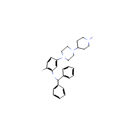 CN1CCC(N2CCN(c3ccc([N+](=O)[O-])c(NC(c4ccccc4)c4ccccc4)c3)CC2)CC1